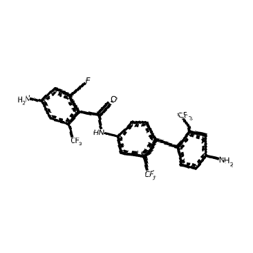 Nc1ccc(-c2ccc(NC(=O)c3c(F)cc(N)cc3C(F)(F)F)cc2C(F)(F)F)c(C(F)(F)F)c1